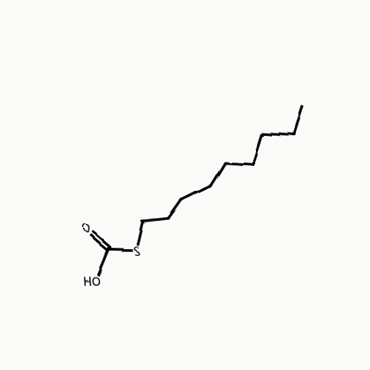 CCCCCCCCCSC(=O)O